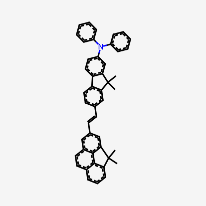 CC1(C)c2cc(/C=C/c3cc4c5c(ccc6cccc(c65)C4(C)C)c3)ccc2-c2ccc(N(c3ccccc3)c3ccccc3)cc21